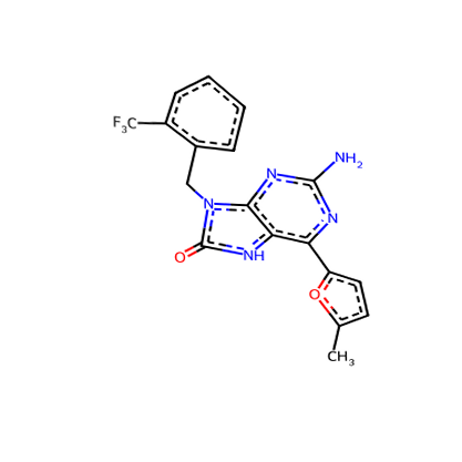 Cc1ccc(-c2nc(N)nc3c2[nH]c(=O)n3Cc2ccccc2C(F)(F)F)o1